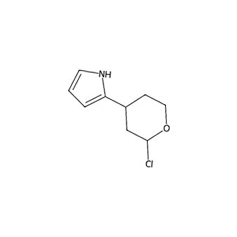 ClC1CC(c2ccc[nH]2)CCO1